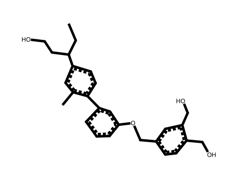 CCC(CCO)c1ccc(-c2cccc(OCc3ccc(CO)c(CO)c3)c2)c(C)c1